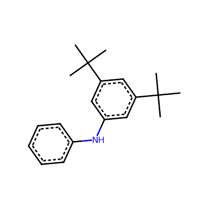 CC(C)(C)c1cc(Nc2ccccc2)cc(C(C)(C)C)c1